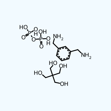 NCc1cccc(CN)c1.O=P(O)(O)OP(=O)(O)O.OCC(CO)(CO)CO